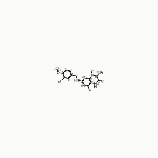 Cc1nc(NCc2ccc(OC(F)(F)F)c(F)c2)nc2c1NC(=O)C(C(C)C)N2C